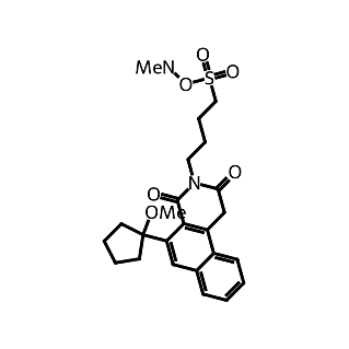 CNOS(=O)(=O)CCCCN1C(=O)Cc2c(c(C3(OC)CCCC3)cc3ccccc23)C1=O